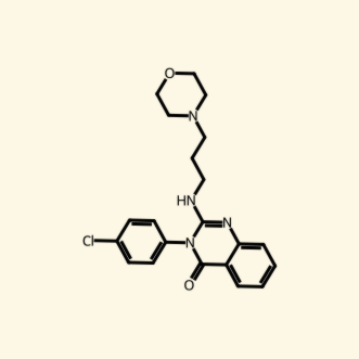 O=c1c2ccccc2nc(NCCCN2CCOCC2)n1-c1ccc(Cl)cc1